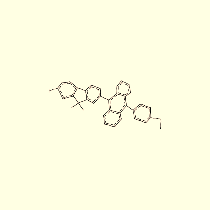 CCc1ccc(-c2c3ccccc3c(-c3ccc4c(c3)C(C)(C)c3cc(I)ccc3-4)c3ccccc23)cc1